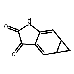 O=C1NC2=CC3CC3C=C2C1=O